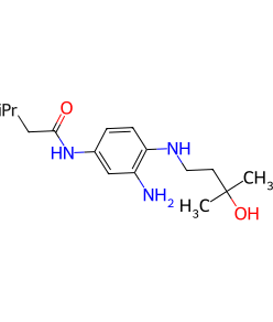 CC(C)CC(=O)Nc1ccc(NCCC(C)(C)O)c(N)c1